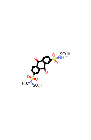 CN(S(=O)(=O)O)S(=O)(=O)c1ccc2c(c1)C(=O)c1cc(S(=O)(=O)NS(=O)(=O)O)ccc1C2=O